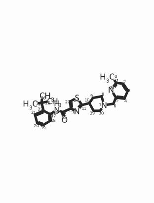 Cc1cccc(CN2CCC(c3nc(C(=O)Nc4ccccc4C(C)(C)C)cs3)CC2)n1